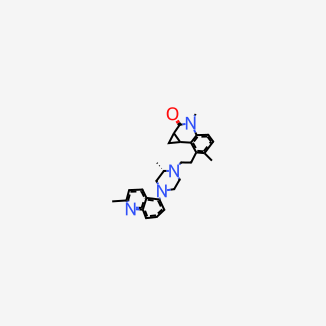 Cc1ccc2c(N3CCN(CCc4c(C)ccc5c4C4CC4C(=O)N5C)[C@@H](C)C3)cccc2n1